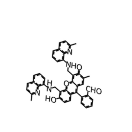 Cc1ccc2cccc(NCc3c4oc5c(CNc6cccc7ccc(C)nc67)c(O)ccc5c(-c5ccccc5C=O)c-4cc(C)c3=O)c2n1